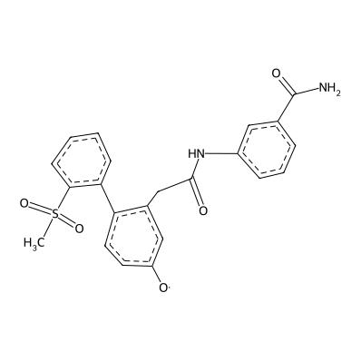 CS(=O)(=O)c1ccccc1-c1ccc([O])cc1CC(=O)Nc1cccc(C(N)=O)c1